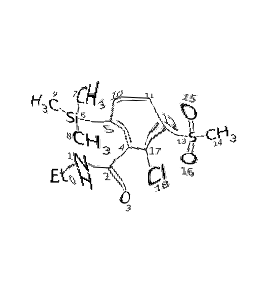 CCNC(=O)c1c([Si](C)(C)C)ccc(S(C)(=O)=O)c1Cl